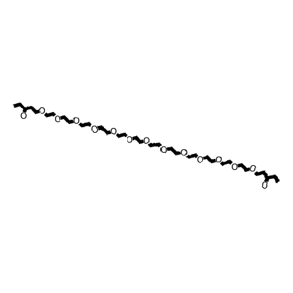 CCC(=O)CCOCCOCCOCCOCCOCCOCCOCCOCCOCCOCCOCCOCCOCCC(=O)CC